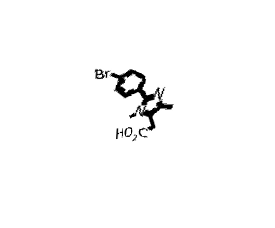 Cc1nc(-c2ccc(Br)cc2)n(C)c1CC(=O)O